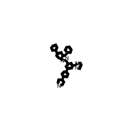 c1ccc(-c2ccc3nc(-c4cc(-c5ccc(-c6ccncc6)cc5)cc(-c5ncccn5)c4)nc(-c4ccccc4)c3c2)cc1